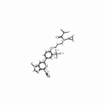 CC(C)C(=O)N(CCCOc1ccc(-c2cc3c(ncn3C)c(C#N)n2)cc1C(F)(F)F)C1CC1